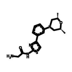 C[C@@H]1CN(c2cccc(-c3csc(NC(=O)CN)n3)c2)C[C@H](C)O1